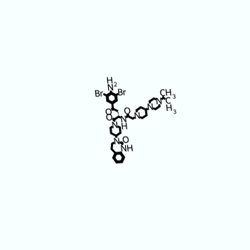 CC(C)N1CCN(C2CCN(CC(=O)N[C@@H](CC(=O)c3cc(Br)c(N)c(Br)c3)C(=O)N3CCC(N4CCc5ccccc5NC4=O)CC3)CC2)CC1